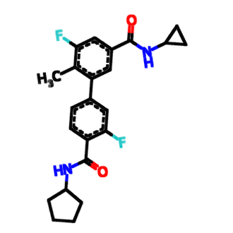 Cc1c(F)cc(C(=O)NC2CC2)cc1-c1ccc(C(=O)NC2CCCC2)c(F)c1